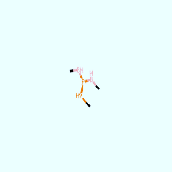 CBP(BC)PC